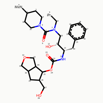 CNC1CCN(C(=O)N(CC(C)C)C[C@@H](O)[C@H](Cc2ccccc2)NC(=O)OC2C(CO)CC3COCC32)CC1